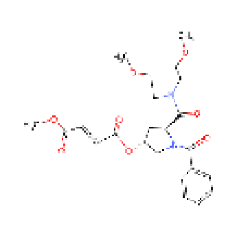 COCCN(CCOC)C(=O)[C@@H]1C[C@@H](OC(=O)/C=C/C(=O)OC)CN1C(=O)c1ccccc1